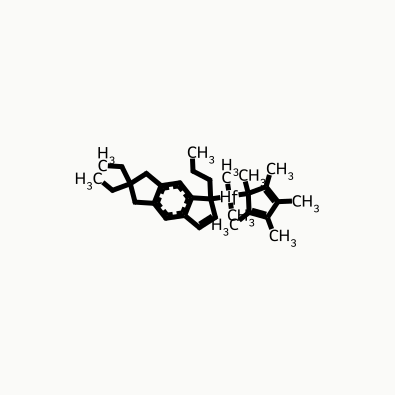 CCC[C]1([Hf]([CH3])([CH3])[C]2(C)C(C)=C(C)C(C)=C2C)C=Cc2cc3c(cc21)CC(CC)(CC)C3